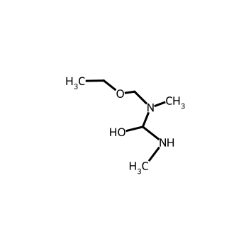 CCOCN(C)C(O)NC